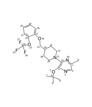 Cc1cnc(OC(C)(C)C)c(N2CCC(COc3ccccc3OC(F)(F)F)CC2)n1